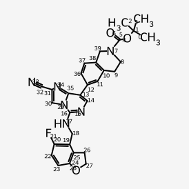 CC(C)(C)OC(=O)N1CCc2cc(-c3cnc(NCc4c(F)ccc5c4CCO5)n4cc(C#N)nc34)ccc2C1